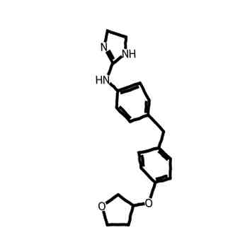 c1cc(NC2=NCCN2)ccc1Cc1ccc(OC2CCOC2)cc1